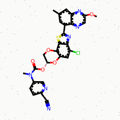 COc1cnc2c(-c3nc4c(Cl)cc5c(c4s3)OC[C@@H](OC(=O)N(C)c3ccc(C#N)nc3)O5)cc(C)cc2n1